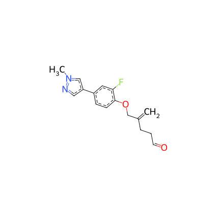 C=C(CCC=O)COc1ccc(-c2cnn(C)c2)cc1F